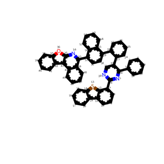 c1ccc(-c2nc(-c3cccc4c3sc3ccccc34)ncc2-c2ccccc2-c2ccc(-c3nc4oc5ccccc5c4c4ccccc34)c3ccccc23)cc1